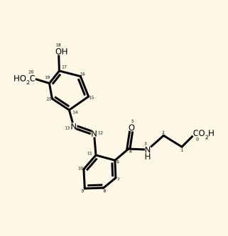 O=C(O)CCNC(=O)c1ccccc1N=Nc1ccc(O)c(C(=O)O)c1